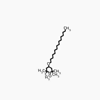 CCCCCCCCCCCCCCCCOC1CC(C)(C)N([O])C(C)(C)C1